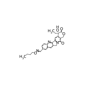 CCCCON=Cc1ccc2nc3c(cc2c1)Cn1c-3cc2c(c1=O)COC(=O)[C@]2(O)CC